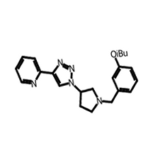 CC(C)COc1cccc(CN2CCC(n3cc(-c4ccccn4)nn3)C2)c1